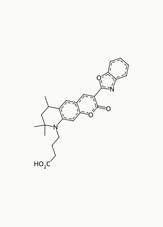 CC1CC(C)(C)N(CCCC(=O)O)c2cc3oc(=O)c(-c4nc5ccccc5o4)cc3cc21